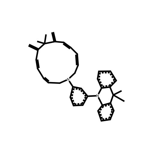 C=C1/C=C\C=C/CN(c2cccc(N3c4ccccc4C(C)(C)c4ccccc43)c2)C/C=C\C=C/C(=C)C1(C)C